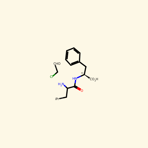 CC(C)CC(N)C(=O)N[C@@H](Cc1ccccc1)C(=O)O.O=CCCl